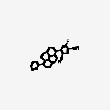 N#Cc1cc(C#N)c(-c2ccc3ccc4c(-c5ccccc5)ccc5ccc2c3c54)cc1F